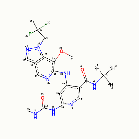 [2H]C([2H])([2H])NC(=O)c1cnc(NC(=O)NC)cc1Nc1ncc2cnn(CC(C)(F)F)c2c1OC